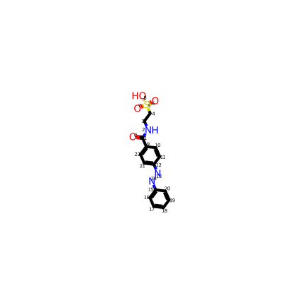 O=C(NCCS(=O)(=O)O)c1ccc(/N=N/c2ccccc2)cc1